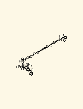 CCCN(OCCNC(=O)OCCOCCOCCOCCOCCOCCOCCOCCOCCOCCOCCNC(=O)CN1C(=O)C=CC1=O)C(=O)C1=Cc2ccc(C(=O)N3CCCCC3)cc2N=C(N)C1